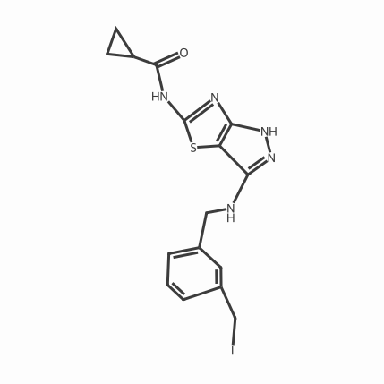 O=C(Nc1nc2[nH]nc(NCc3cccc(CI)c3)c2s1)C1CC1